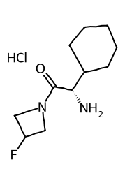 Cl.N[C@H](C(=O)N1CC(F)C1)C1CCCCC1